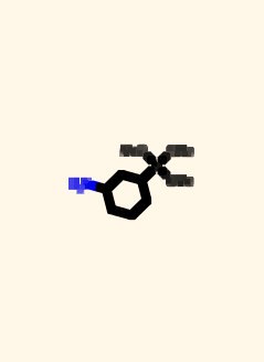 CO[Si](OC)(OC)C1CCCC(N)C1